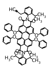 C#CCc1cccc(C(C)C)c1N1C(=O)c2cc(Oc3ccccc3)c3c4c(Oc5ccccc5)cc5c6c(cc(Oc7ccccc7)c(c7c(Oc8ccccc8)cc(c2c37)C1=O)c64)C(=O)N(c1c(C(C)C)cccc1C(C)C)C5=O